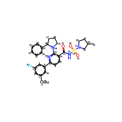 CC(C)COc1cc(F)cc(-c2ccc(C(=O)NS(=O)(=O)N3CCC(C)C3)c(N3CCCC3c3ccccc3)n2)c1